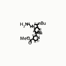 CCCCc1cn(CCN)c2cc(-c3cc(C(=O)OC)ccn3)ncc12.Cl